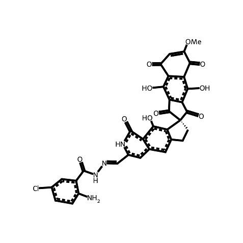 COC1=CC(=O)c2c(O)c3c(c(O)c2C1=O)C(=O)[C@]1(CCc2cc4cc(/C=N/NC(=O)c5cc(Cl)ccc5N)[nH]c(=O)c4c(O)c21)C3=O